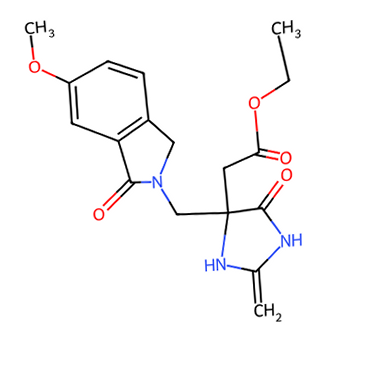 C=C1NC(=O)C(CC(=O)OCC)(CN2Cc3ccc(OC)cc3C2=O)N1